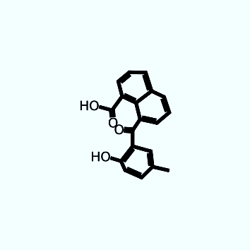 Cc1ccc(O)c(C(=O)c2cccc3cccc(C(=O)O)c23)c1